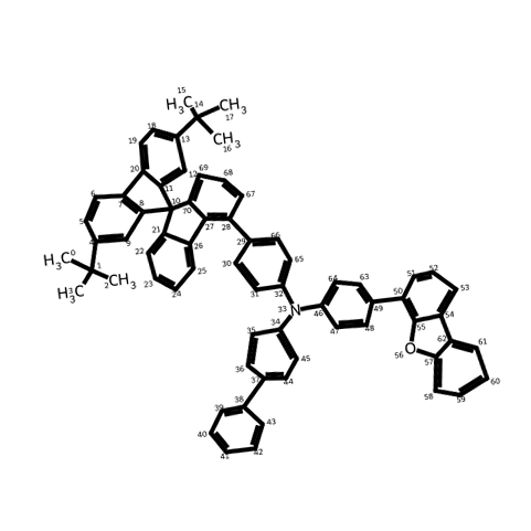 CC(C)(C)c1ccc2c(c1)C1(c3cc(C(C)(C)C)ccc3-2)c2ccccc2-c2c(-c3ccc(N(c4ccc(-c5ccccc5)cc4)c4ccc(-c5cccc6c5oc5ccccc56)cc4)cc3)cccc21